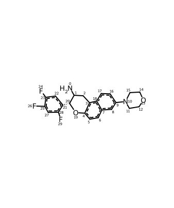 NC1Cc2c(ccc3cc(N4CCOCC4)ccc23)O[C@@H]1c1cc(F)c(F)cc1F